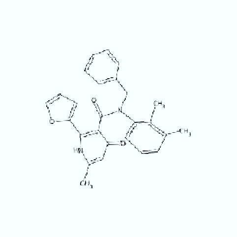 Cc1cc(=O)c(C(=O)N(Cc2ccccc2)c2cccc(C)c2C)c(-c2ccco2)[nH]1